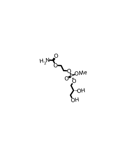 COP(=O)(OCCOC(N)=O)OC[C@H](O)CO